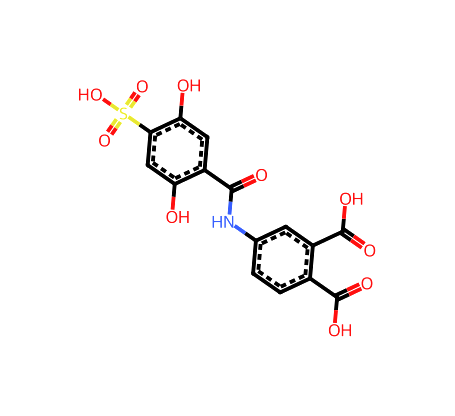 O=C(Nc1ccc(C(=O)O)c(C(=O)O)c1)c1cc(O)c(S(=O)(=O)O)cc1O